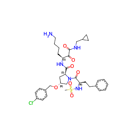 CS(=O)(=O)N[C@H](CCc1ccccc1)C(=O)N1C[C@H](OCc2ccc(Cl)cc2)C[C@H]1C(=O)N[C@@H](CCCCN)C(=O)C(=O)NCC1CC1